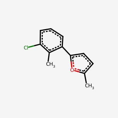 Cc1ccc(-c2cccc(Cl)c2C)o1